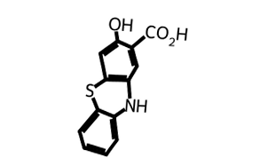 O=C(O)c1cc2c(cc1O)Sc1ccccc1N2